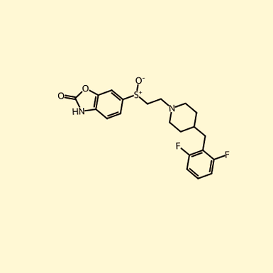 O=c1[nH]c2ccc([S+]([O-])CCN3CCC(Cc4c(F)cccc4F)CC3)cc2o1